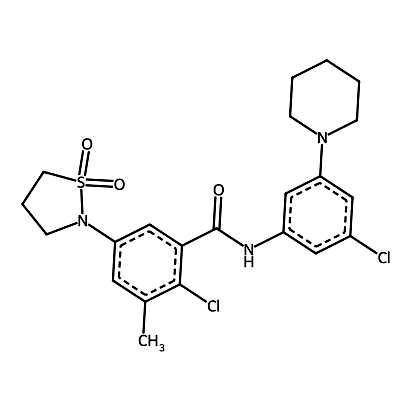 Cc1cc(N2CCCS2(=O)=O)cc(C(=O)Nc2cc(Cl)cc(N3CCCCC3)c2)c1Cl